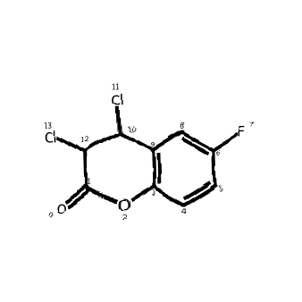 O=C1Oc2ccc(F)cc2C(Cl)C1Cl